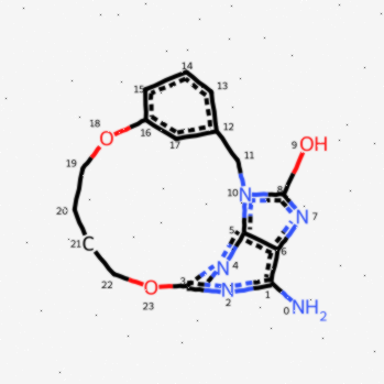 Nc1nc2nc3c1nc(O)n3Cc1cccc(c1)OCCCCO2